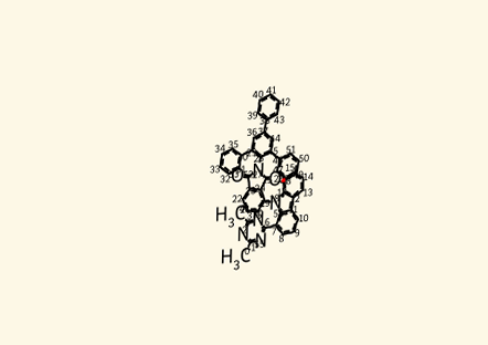 Cc1nc(C)nc(-c2cccc3c4ccccc4n(-c4cccc5c4C(=O)N(c4c(-c6ccccc6)cc(-c6ccccc6)cc4-c4ccccc4)C5=O)c23)n1